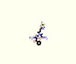 C=N/C(=C\C=C(/C)N(c1nc(N)c(C(=O)c2ccccc2)s1)C(C)C(N)=O)OC(F)F